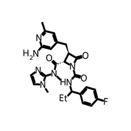 CCC(NC(=O)N1C(=O)[C@H](Cc2cc(C)nc(N)c2)[C@H]1C(=O)N(C)c1nccn1C)c1ccc(F)cc1